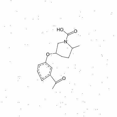 CC(=O)c1cccc(OC2CCC(C)N(C(=O)O)C2)c1